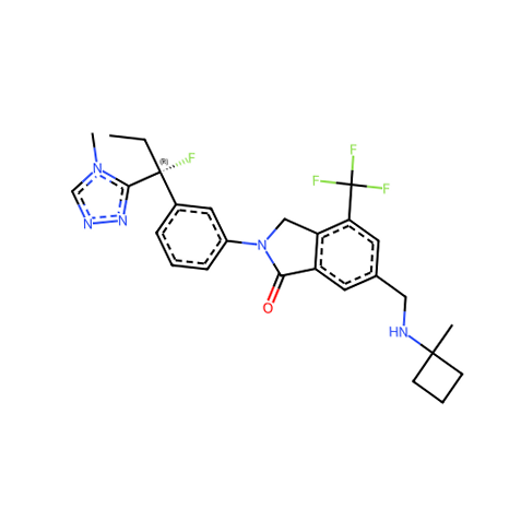 CC[C@@](F)(c1cccc(N2Cc3c(cc(CNC4(C)CCC4)cc3C(F)(F)F)C2=O)c1)c1nncn1C